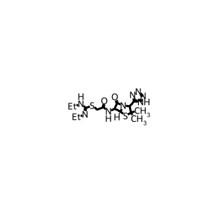 CCN=C(NCC)SCC(=O)NC1C(=O)N2C(c3nnn[nH]3)C(C)(C)S[C@@H]12